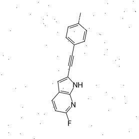 Cc1ccc(C#Cc2cc3ccc(F)nc3[nH]2)cc1